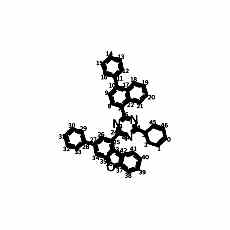 C1=CCC(c2nc(-c3ccc(-c4ccccc4)c4ccccc34)nc(-c3cc(-c4ccccc4)cc4oc5ccccc5c34)n2)C=C1